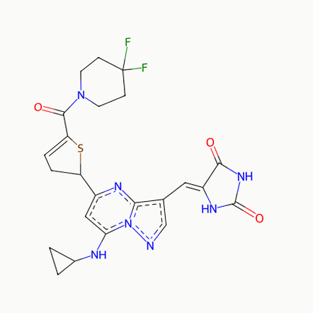 O=C1NC(=O)/C(=C/c2cnn3c(NC4CC4)cc(C4CC=C(C(=O)N5CCC(F)(F)CC5)S4)nc23)N1